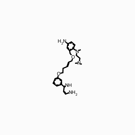 CN(C)CCN(C)c1ccc(N)cc1COC/C=C/CCOc1cccc(C(=N)/C=C\N)c1